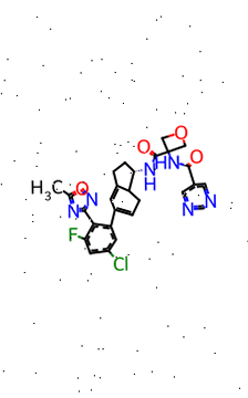 Cc1nc(-c2c(F)cc(Cl)cc2C2=CCC3C(=C2)CC[C@@H]3NC(=O)C2(NC(=O)c3cncnc3)COC2)no1